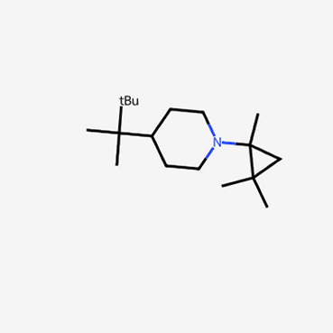 CC(C)(C)C(C)(C)C1CCN(C2(C)CC2(C)C)CC1